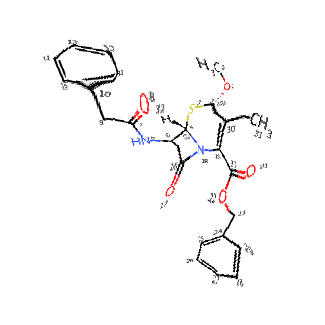 CO[C@H]1S[C@H]2C(NC(=O)Cc3ccccc3)C(=O)N2C(C(=O)OCc2ccccc2)=C1C